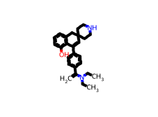 C=C(c1ccc(C2=CC3(CCNCC3)Cc3cccc(O)c32)cc1)N(CC)CC